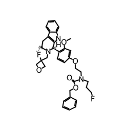 COc1cc(OCCN(CCCF)C(=O)OCc2ccccc2)ccc1[C@@H]1c2[nH]c3ccccc3c2C[C@@H](C)N1CC1(F)COC1